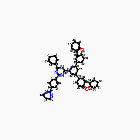 c1ccc(-c2nc(-c3ccc(-c4ncccn4)cc3)nc(-c3cc(-c4ccc5oc6ccccc6c5c4)cc(-c4ccc5oc6ccccc6c5c4)c3)n2)cc1